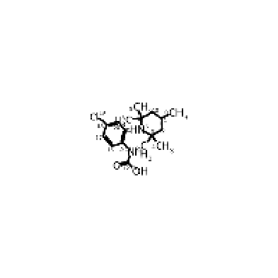 CC1CC(C)(C)NC(C)(C)C1.O=C(O)Nc1ccc(Cl)cc1